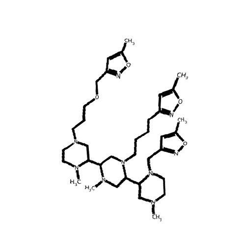 Cc1cc(CCCCN2CC(C3CN(CCCOCc4cc(C)on4)CCN3C)N(C)CC2C2CN(C)CCN2Cc2cc(C)on2)no1